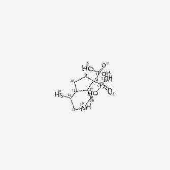 O=P(O)(O)C1(P(=O)(O)O)CCC2C(S)CNCC21